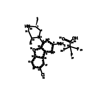 C[C@@H]1CN(c2nc(N)nc3c2oc2ccc(Cl)cc23)[C@@H](C)CN1.O=C(O)C(F)(F)F